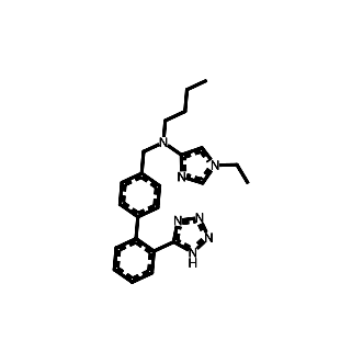 CCCCN(Cc1ccc(-c2ccccc2-c2nnn[nH]2)cc1)c1cn(CC)cn1